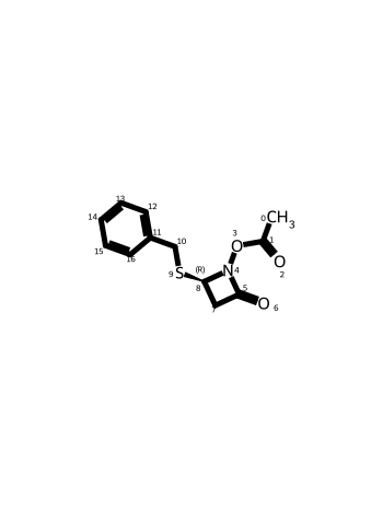 CC(=O)ON1C(=O)C[C@H]1SCc1ccccc1